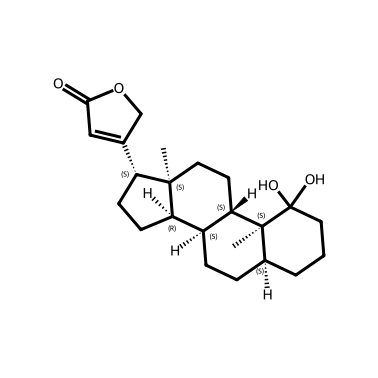 C[C@]12CC[C@H]3[C@@H](CC[C@@H]4CCCC(O)(O)[C@@]43C)[C@H]1CC[C@@H]2C1=CC(=O)OC1